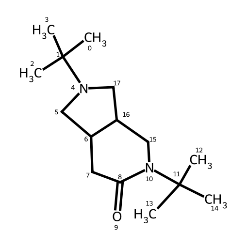 CC(C)(C)N1CC2CC(=O)N(C(C)(C)C)CC2C1